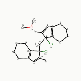 CC1=CC2=C(CCCC2)C1(Cl)[SiH2]C1(Cl)C(C)=CC2=C1CCCC2.CC[O][Zr]